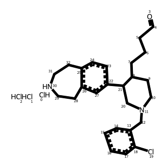 Cl.Cl.Cl.O=CCCCC1CCN(Cc2ccccc2Cl)CC1c1ccc2c(c1)CCNCC2